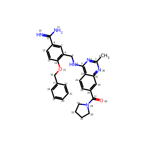 Cc1nc(NCc2cc(C(=N)N)ccc2OCc2ccccc2)c2ccc(C(=O)N3CCCC3)cc2n1